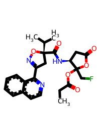 CCC(=O)OC1(CF)OC(=O)C[C@@H]1NC(=O)[C@]1(C(C)C)CC(c2nccc3ccccc23)=NO1